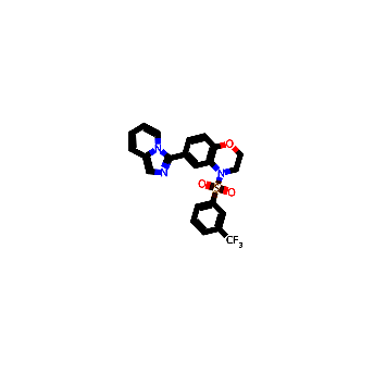 O=S(=O)(c1cccc(C(F)(F)F)c1)N1CCOc2ccc(-c3ncc4ccccn34)cc21